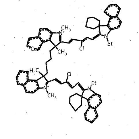 CCN1/C(=C/C=C(Cl)/C=C/C2=[N+](C)c3ccc4ccccc4c3C2(C)CCCCC2(C)C(/C=C/C(Cl)=C/C=C3/N(CC)c4ccc5ccccc5c4C34CCCCC4)=[N+](C)c3ccc4ccccc4c32)C2(CCCCC2)c2c1ccc1ccccc21